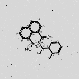 CC1C=CC=CC1[C@@H](C)NC(=O)c1cccc2cccc(C(=O)O)c12